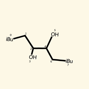 CCC(C)CC(O)C(O)CC(C)CC